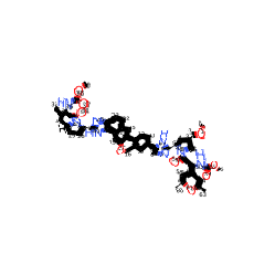 COC[C@H]1C[C@@H](c2ncc(-c3ccc4c(c3)COc3cc5c(ccc6nc([C@@H]7CC[C@@H]8CC(C)[C@H](NC(=O)OC)C(=O)N87)[nH]c65)cc3-4)[nH]2)N(C(=O)[C@@H](NC(=O)OC)C2C[C@@H](C)O[C@H](C)C2)C1